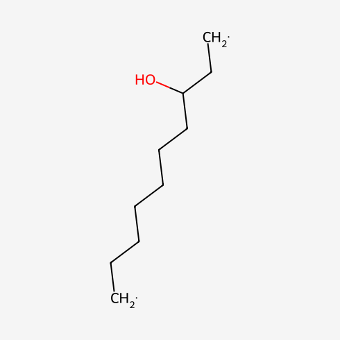 [CH2]CCCCCCC(O)C[CH2]